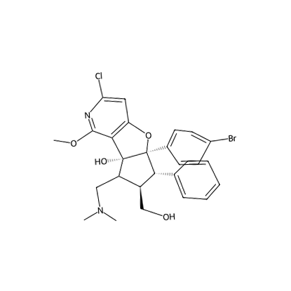 COc1nc(Cl)cc2c1[C@]1(O)C(CN(C)C)[C@H](CO)[C@@H](c3ccccc3)[C@]1(c1ccc(Br)cc1)O2